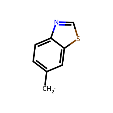 [CH2]c1ccc2ncsc2c1